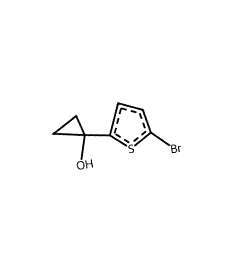 OC1(c2ccc(Br)s2)CC1